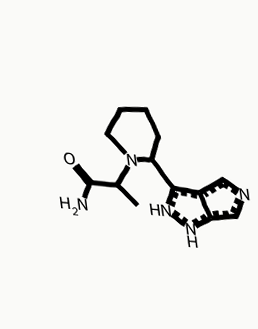 CC(C(N)=O)N1CCCCC1c1[nH][nH]c2cncc1-2